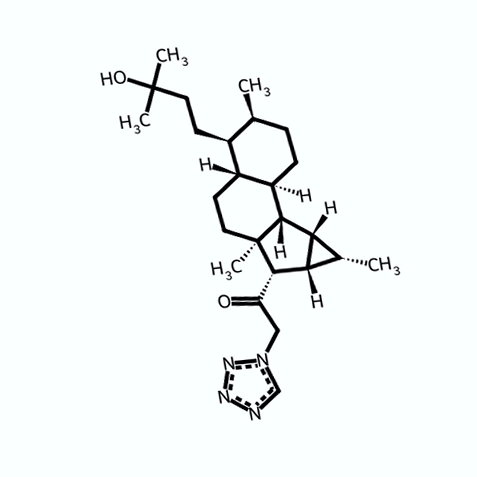 C[C@H]1[C@@H]2[C@H]1[C@H](C(=O)Cn1cnnn1)[C@@]1(C)CC[C@H]3[C@@H](CC[C@H](C)[C@@H]3CCC(C)(C)O)[C@H]21